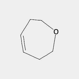 C1=CCCOCC1